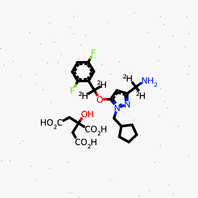 O=C(O)CC(O)(CC(=O)O)C(=O)O.[2H]C([2H])(N)c1cc(OC([2H])([2H])c2cc(F)ccc2F)n(CC2CCCC2)n1